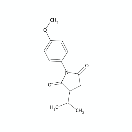 COc1ccc(N2C(=O)CC(C(C)C)C2=O)cc1